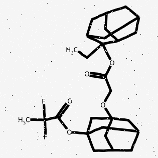 CCC1(OC(=O)COC23CC4CC(C2)CC(OC(=O)C(C)(F)F)(C4)C3)C2CC3CC(C2)CC1C3